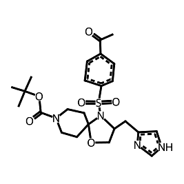 CC(=O)c1ccc(S(=O)(=O)N2C(Cc3c[nH]cn3)COC23CCN(C(=O)OC(C)(C)C)CC3)cc1